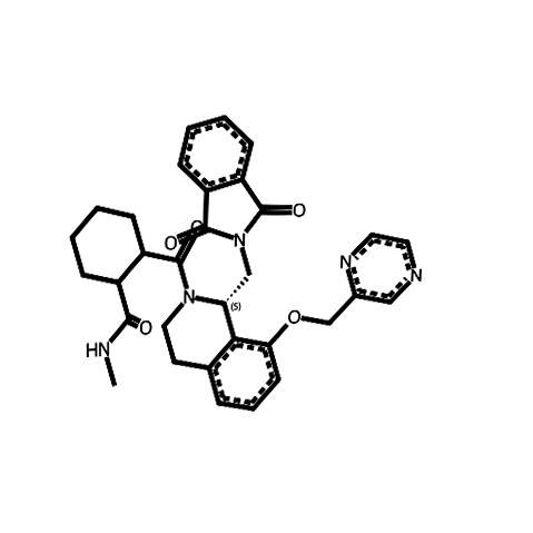 CNC(=O)C1CCCCC1C(=O)N1CCc2cccc(OCc3cnccn3)c2[C@H]1CN1C(=O)c2ccccc2C1=O